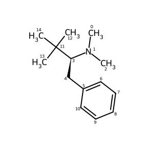 CN(C)[C@@H](Cc1ccccc1)C(C)(C)C